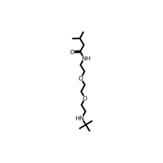 CC(C)CC(=O)NCCOCCOCCNC(C)(C)C